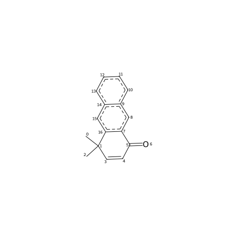 CC1(C)C=CC(=O)c2cc3ccccc3cc21